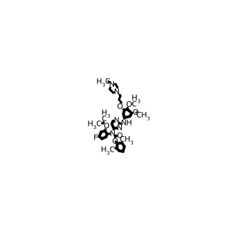 COc1cc(Nc2nccc(N(C(=O)Oc3c(C)cccc3C)c3ccc(F)cc3OC(C)C)n2)cc(OCCCN2CCN(C)CC2)c1OC